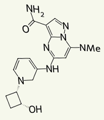 CNc1cc(NC2=CC=CN([C@H]3CC[C@H]3O)C2)nc2c(C(N)=O)cnn12